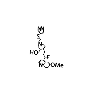 COc1ccc2nccc([C@H](F)CC[C@@H]3CCN(CCSc4ccnnc4)C[C@@H]3CO)c2c1